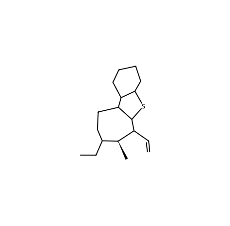 C=CC1C2SC3CCCCC3C2CCC(CC)[C@@H]1C